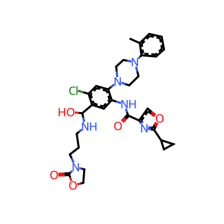 Cc1ccccc1N1CCN(c2cc(Cl)c(C(O)NCCCN3CCOC3=O)cc2NC(=O)c2coc(C3CC3)n2)CC1